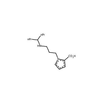 CCCC(CCC)NCCCn1cccc1C(=O)O